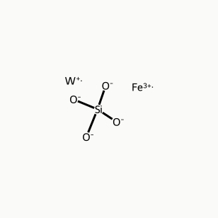 [Fe+3].[O-][Si]([O-])([O-])[O-].[W+]